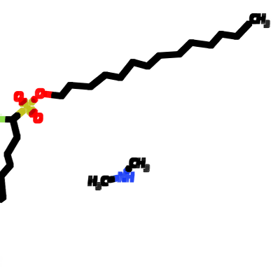 CCCCCCCCCCCCCCOS(=O)(=O)C(F)CCCCCCCCC.CNC